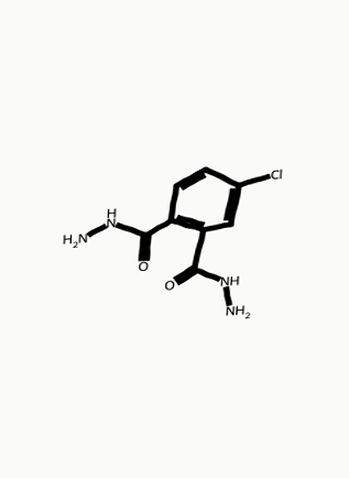 NNC(=O)c1ccc(Cl)cc1C(=O)NN